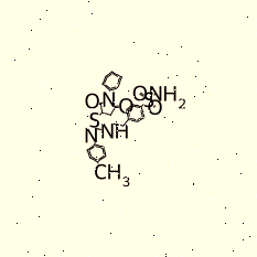 Cc1ccc(/N=C(\NCCc2ccc(S(N)(=O)=O)cc2)SC2CC(=O)N(c3ccccc3)C2=O)cc1